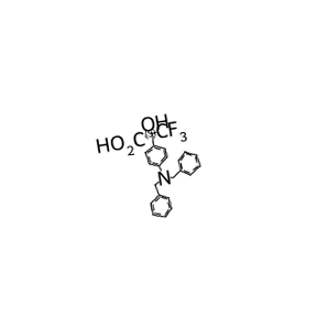 O=C(O)[C@@](O)(c1ccc(N(Cc2ccccc2)Cc2ccccc2)cc1)C(F)(F)F